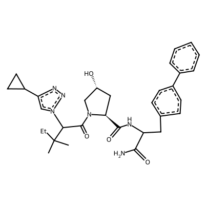 CCC(C)(C)C(C(=O)N1C[C@H](O)C[C@H]1C(=O)NC(Cc1ccc(-c2ccccc2)cc1)C(N)=O)n1cc(C2CC2)nn1